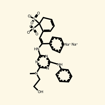 CN(CCO)c1nc(NC(=CC2=CC=CCC2(S(=O)(=O)[O-])S(=O)(=O)[O-])c2ccccc2)nc(Nc2ccccc2)n1.[Na+].[Na+]